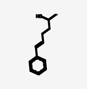 [CH2]C(O)CC/C=C/c1ccccc1